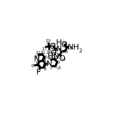 Cc1c(F)cc(N2C[C@@H](C)C[C@@H](NC(=O)C(CC(N)=O)NC(=O)OC(C)(C)C)C2)c2cccnc12